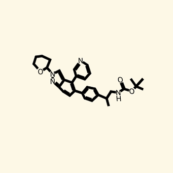 CC(CNC(=O)OC(C)(C)C)c1ccc(-c2ccc3nn(C4CCCCO4)cc3c2-c2cccnc2)cc1